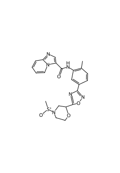 Cc1ccc(-c2noc(C3CN([S+](C)[O-])CCO3)n2)cc1NC(=O)c1cnc2ccccn12